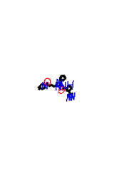 Cn1cc(-c2cccc(C(=O)Nc3nc(CCCC(=O)N4CCC(C)(C)CC4)cn3-c3ccccc3)c2)cn1